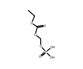 CCOC(=O)OCOP(=O)(O)O